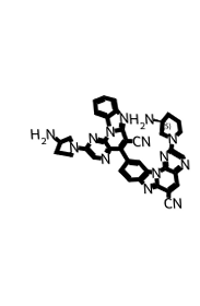 N#Cc1cc2ncc(N3CCC[C@H](N)C3)nc2n2c1nc1ccc(-c3c(C#N)c4nc5ccccc5n4c4nc(N5CCC(N)C5)cnc34)cc12